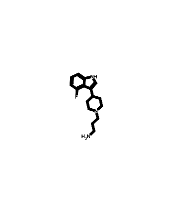 NCCCN1CCC(c2c[nH]c3cccc(F)c23)CC1